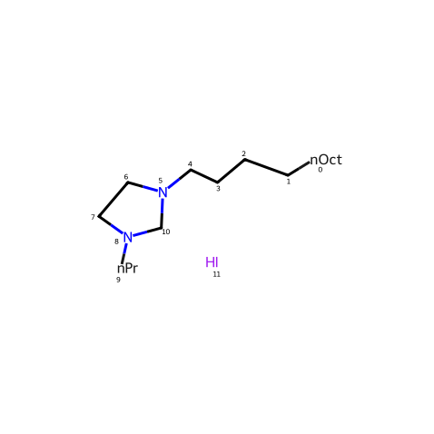 CCCCCCCCCCCCN1CCN(CCC)C1.I